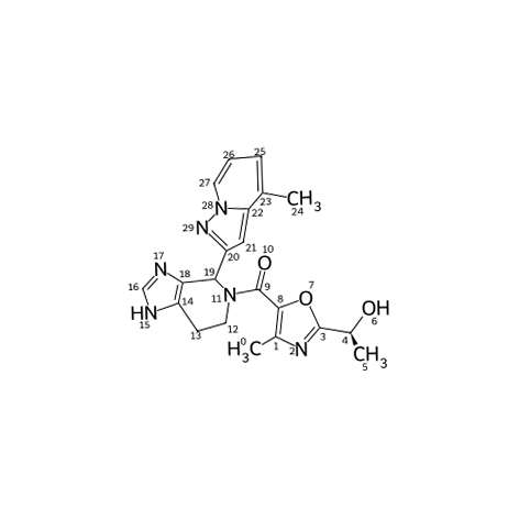 Cc1nc([C@H](C)O)oc1C(=O)N1CCc2[nH]cnc2C1c1cc2c(C)cccn2n1